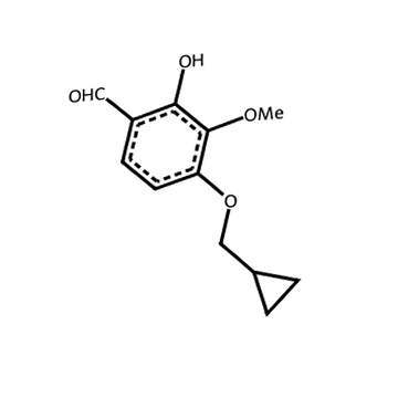 COc1c(OCC2CC2)ccc(C=O)c1O